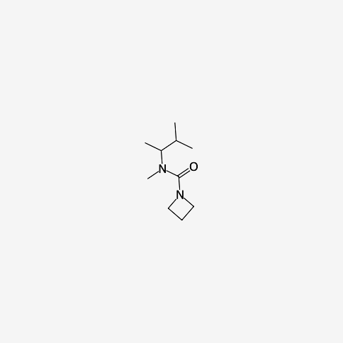 CC(C)C(C)N(C)C(=O)N1CCC1